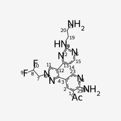 CC(=O)c1cc(-c2nn(CC(F)F)cc2-c2ccnc(NCCN)n2)cnc1N